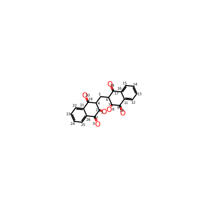 O=C1C(=O)C(CC2C(=O)C(=O)c3ccccc3C2=O)C(=O)c2ccccc21